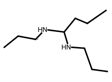 CC[CH]NC(CCC)NCCC